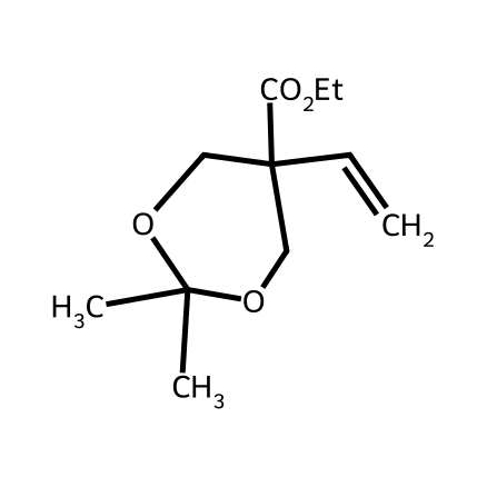 C=CC1(C(=O)OCC)COC(C)(C)OC1